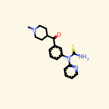 CN1CCC(C(=O)c2cccc(N(C(N)=S)c3ccccn3)c2)CC1